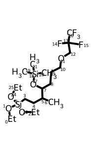 CCO[Si](CCC(C)C(CCCOCC(F)(F)C(F)(F)F)O[Si](C)(C)C)(OCC)OCC